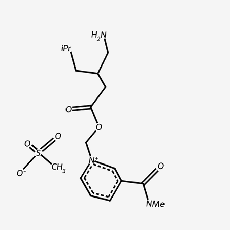 CNC(=O)c1ccc[n+](COC(=O)CC(CN)CC(C)C)c1.CS(=O)(=O)[O-]